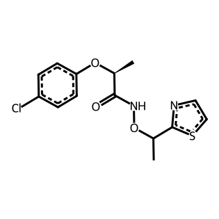 CC(ONC(=O)[C@H](C)Oc1ccc(Cl)cc1)c1nccs1